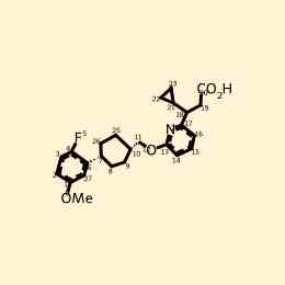 COc1ccc(F)c([C@H]2CC[C@@H](COc3cccc(C(CC(=O)O)C4CC4)n3)CC2)c1